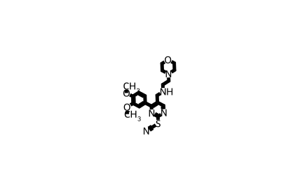 COc1ccc(-c2nc(SC#N)ncc2CNCCN2CCOCC2)cc1OC